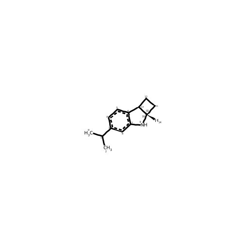 CC(C)c1ccc2c(c1)N[C@H]1CCC21